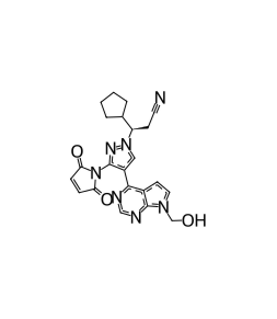 N#CC[C@H](C1CCCC1)n1cc(-c2ncnc3c2ccn3CO)c(N2C(=O)C=CC2=O)n1